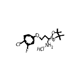 CC1(C)OB([C@@H](N)CCOc2ccc(Cl)c(F)c2)OC1(C)C.Cl